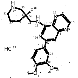 COc1ccc(-c2cc3nccnc3c(NC[C@]3(F)CCCNC3)n2)cc1OC.Cl